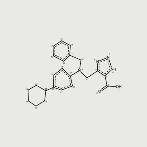 O=C(O)c1[nH]nnc1CN(Cc1ccccc1)c1ccc(C2CCCCC2)cc1